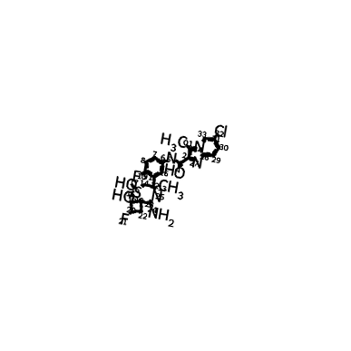 Cc1c(C(=O)Nc2ccc(F)c([C@]3(C)CS(O)(O)C4(CC(F)C4)C(N)=N3)c2)nc2ccc(Cl)cn12